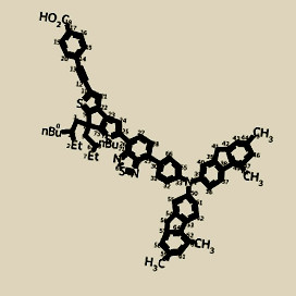 CCCCC(CC)CC1(CC(CC)CCCC)c2sc(C#Cc3ccc(C(=O)O)cc3)cc2-c2cc(-c3ccc(-c4ccc(N(c5ccc6c(c5)Cc5cc(C)cc(C)c5-6)c5ccc6c(c5)Cc5cc(C)cc(C)c5-6)cc4)c4nsnc34)sc21